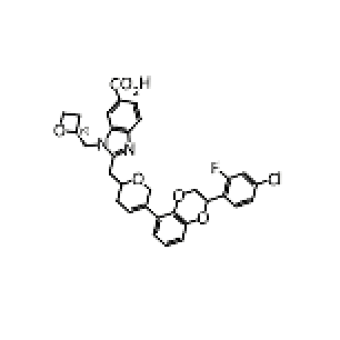 O=C(O)c1ccc2nc(CC3CC=C(c4cccc5c4OCC(c4ccc(Cl)cc4F)O5)CO3)n(C[C@@H]3CCO3)c2c1